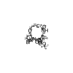 C[C@H]1N(C(=O)OC(C)(C)C)[C@H]2C[C@]1(C)CNC(=O)CCC=CCOCc1ccc(Br)nc1NC2=O